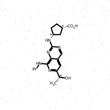 CC(C)Nc1nc([C@@H](C)O)cc2cnc(N[C@@H]3CC[C@H](C(=O)O)C3)nc12